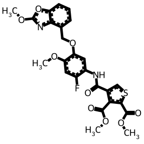 COC(=O)c1scc(C(=O)Nc2cc(OCc3cccc4oc(OC)nc34)c(OC)cc2F)c1C(=O)OC